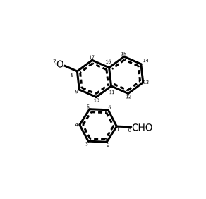 O=Cc1ccccc1.[O]c1ccc2ccccc2c1